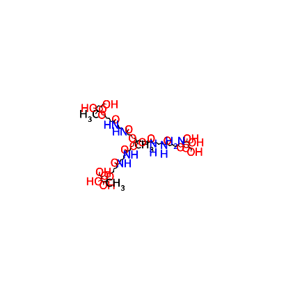 C[C@H]1C(O)CC(CO)O[C@H]1OCCCCC(=O)NCCCNC(=O)CCOCC(C)(COCCC(=O)NCCCNC(=O)CCCCO[C@@H]1OC(CO)[C@H](O)C(O)[C@@H]1C)COCCC(=O)NCCCNC(=O)CCCCO[C@@H]1OC(CO)[C@H](O)C(O)[C@@H]1N